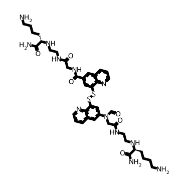 NCCCC[C@H](NCCNC(=O)CNC(=O)c1cc(SSc2cc(N(C=O)CC(=O)NCCN[C@@H](CCCCN)C(N)=O)cc3cccnc23)c2ncccc2c1)C(N)=O